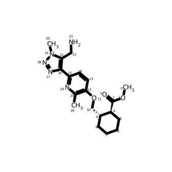 COC(=O)[C@H]1CCCC[C@@H]1COc1ccc(-c2nnn(C)c2CN)nc1C